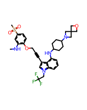 CNc1cc(S(C)(=O)=O)ccc1OCC#Cc1cn(CC(F)(F)F)c2cccc(NC3CCC(N4CC5(COC5)C4)CC3)c12